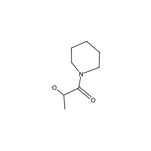 CC([O])C(=O)N1CCCCC1